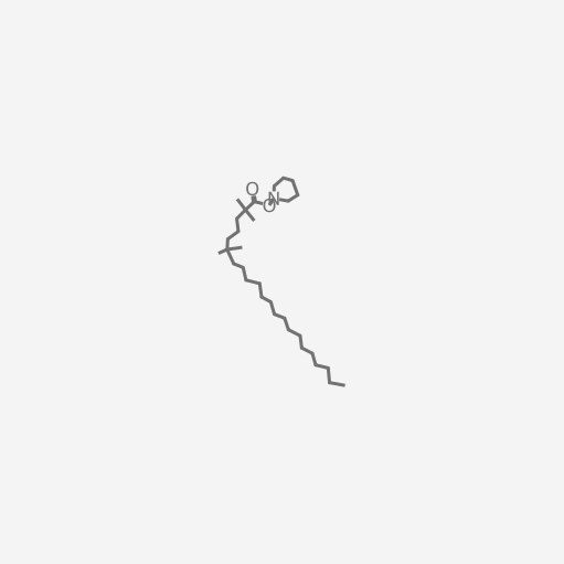 CCCCCCCCCCCCCCCCC(C)(C)CCCC(C)(C)C(=O)ON1CCCCC1